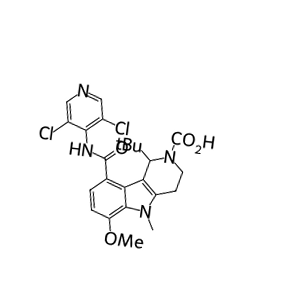 COc1ccc(C(=O)Nc2c(Cl)cncc2Cl)c2c3c(n(C)c12)CCN(C(=O)O)C3C(C)(C)C